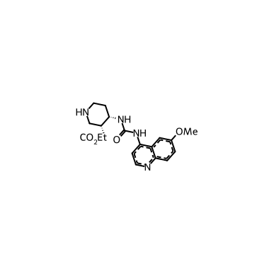 CCOC(=O)[C@@H]1CNCC[C@@H]1NC(=O)Nc1ccnc2ccc(OC)cc12